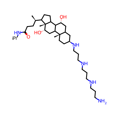 CC(C)NC(=O)CC[C@@H](C)C1CCC2C3C(C[C@H](O)[C@@]21C)[C@@]1(C)CC[C@H](NCCCNCCCNCCCN)CC1C[C@H]3O